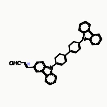 O=C/C=C/c1ccc2c(c1)c1ccccc1n2C1=CC=C(C2=CC=C(n3c4ccccc4c4ccccc43)CC2)CC1